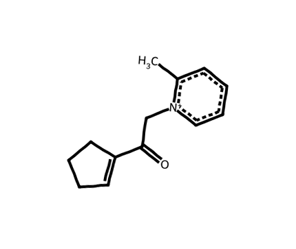 Cc1cccc[n+]1CC(=O)C1=CCCC1